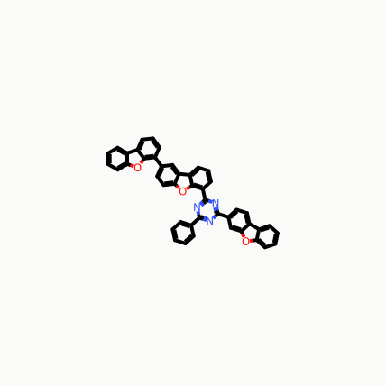 c1ccc(-c2nc(-c3ccc4c(c3)oc3ccccc34)nc(-c3cccc4c3oc3ccc(-c5cccc6c5oc5ccccc56)cc34)n2)cc1